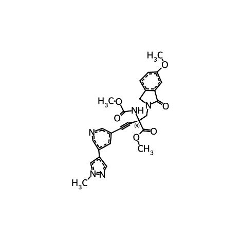 COC(=O)N[C@](C#Cc1cncc(-c2cnn(C)c2)c1)(CN1Cc2ccc(OC)cc2C1=O)C(=O)OC